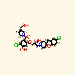 O=C(c1cc(Cl)c(O)cc1OC[C@@H](O)CN1CCC2(CC1)Cc1cc(Cl)ccc1O2)N1CC[C@@H](CO)C1